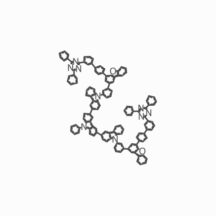 c1ccc(-c2nc(-c3ccccc3)nc(-c3cccc(-c4ccc(-c5cc(-c6cccc(-n7c8ccccc8c8cc(-c9ccc%10c(c9)c9cc(-c%11ccc%12c(c%11)c%11ccccc%11n%12-c%11cccc(-c%12cc(-c%13ccc(-c%14cccc(-c%15nc(-c%16ccccc%16)nc(-c%16ccccc%16)n%15)c%14)cc%13)c%13oc%14ccccc%14c%13c%12)c%11)ccc9n%10-c9ccccc9)ccc87)c6)cc6c5oc5ccccc56)cc4)c3)n2)cc1